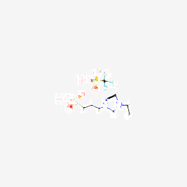 CCN1C=CN(CCCS(=O)(=O)O)C1.O=S(=O)(O)C(F)(F)F